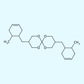 CC1CC=CCC1CC1COC2(OC1)OCC(CC1CC=CCC1C)CO2